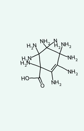 NC1=C(N)C(N)(C(=O)O)C(N)(N)C(N)(N)C1(N)N